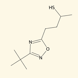 CC(S)CCc1nc(C(C)(C)C)no1